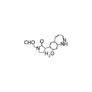 O.O=CCN1CCC(c2ccc3c(c2)C=CC=NN3)C1=O